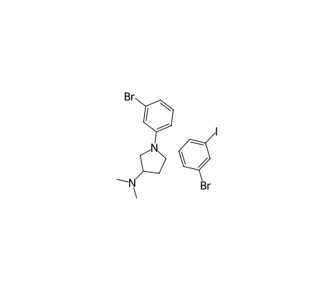 Brc1cccc(I)c1.CN(C)C1CCN(c2cccc(Br)c2)C1